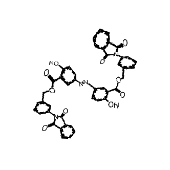 O=C(OCc1cccc(N2C(=O)c3ccccc3C2=O)c1)c1cc(/N=N/c2ccc(O)c(C(=O)OCc3cccc(N4C(=O)c5ccccc5C4=O)c3)c2)ccc1O